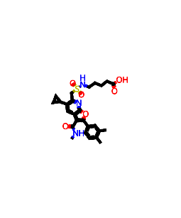 CNC(=O)c1c(-c2ccc(C)c(C)c2)oc2nc(CS(=O)(=O)NCCCCC(=O)O)c(C3CC3)cc12